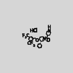 Cl.O=C(C1CCNCC1)N1CC[C@@H](OCc2cc(C(F)(F)F)cc(C(F)(F)F)c2)[C@@H](c2ccccc2)C1